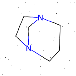 [CH]1N2CCCN1CC2